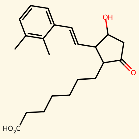 Cc1cccc(C=CC2C(O)CC(=O)C2CCCCCCC(=O)O)c1C